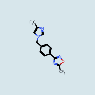 FC(F)(F)c1cn(Cc2ccc(-c3noc(C(F)(F)F)n3)cc2)cn1